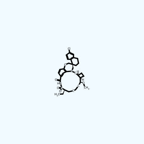 CC[C@@H]1CCCC[C@H](OC)[C@@H]2CC[C@H]2CN2C[C@@]3(CCCc4cc(Cl)ccc43)COc3ccc(cc32)C(=O)NS1(=O)=O